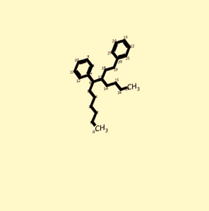 CCCCCC[C](c1ccccc1)C(CCCC)CCc1ccccc1